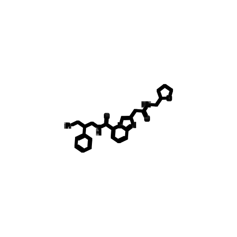 CC(C)CC(CNC(=O)c1cccc2nc(CC(=O)NCC3CCCO3)cn12)c1ccccc1